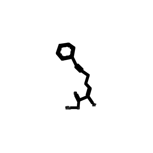 CC(C)(C)OC(=O)/C(Br)=C\CCC#Cc1ccccc1